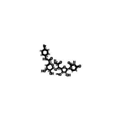 CO[C@H]1[C@@H](O)[C@H](n2ccc(=O)[nH]c2=O)O[C@@H]1[C@@H](O[C@H]1OC(C(=O)Nc2ccc(Br)cc2)=C[C@H](O)[C@@H]1O)C(N)=O